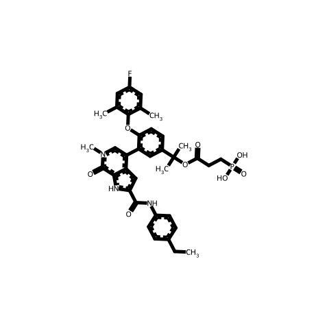 CCc1ccc(NC(=O)c2cc3c(-c4cc(C(C)(C)OC(=O)CCP(=O)(O)O)ccc4Oc4c(C)cc(F)cc4C)cn(C)c(=O)c3[nH]2)cc1